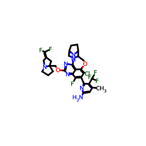 Cc1cc(N)nc(-c2c(Cl)c3c4c(nc(OCC56CCCN5CC(=C(F)F)C6)nc4c2F)N2CC4CCC(N4)C2CO3)c1C(F)(F)F